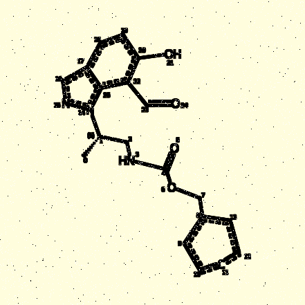 C[C@@H](CNC(=O)OCc1ccccc1)n1ncc2ccc(O)c(C=O)c21